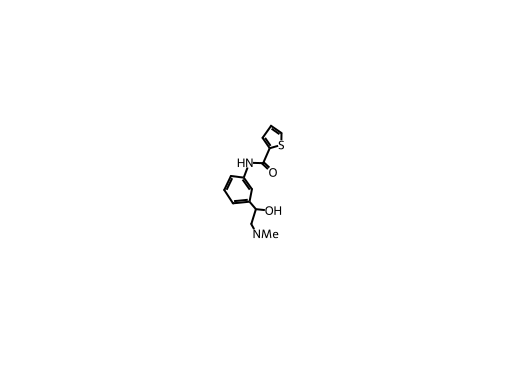 CNCC(O)c1cccc(NC(=O)c2cccs2)c1